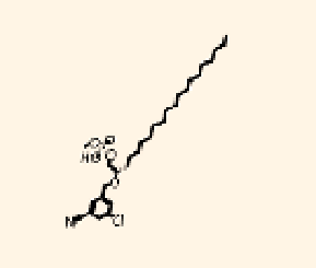 CCCCCCCCCCCCCCCCCC[C@@H](COP(=O)(O)OC)OCc1cc(Cl)cc(C#N)c1